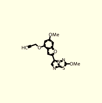 C#CCOc1cc(OC)cc2oc(-c3cnc4sc(OC)nn34)cc12